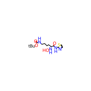 CC(C)(C)OC(=O)NCCCCC(NO)C(=O)Nc1nccs1